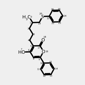 CC(CCCc1c(O)cc(-c2ccccc2)oc1=O)CSc1ccccc1